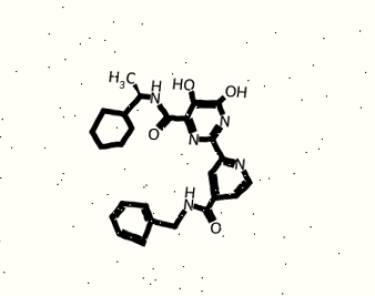 C[C@@H](NC(=O)c1nc(-c2cc(C(=O)NCc3ccccc3)ccn2)nc(O)c1O)C1CCCCC1